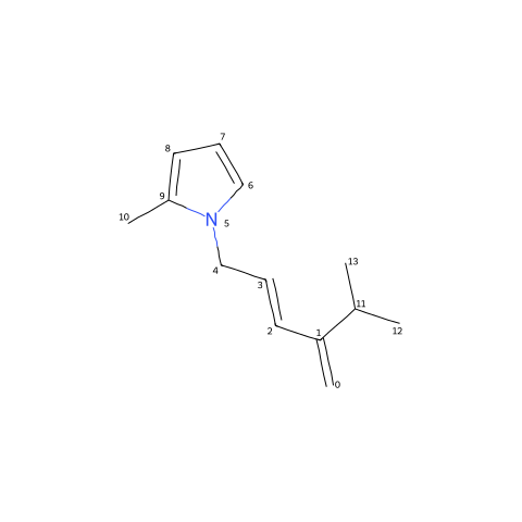 C=C(/C=C/Cn1cccc1C)C(C)C